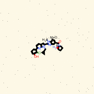 COc1cc(C(=O)N2CC3CCC2[C@@H]3N)cc2nc(-c3cc4ccc(-c5cccc(O)c5Cl)nc4n3CC3CC3)n(C)c12